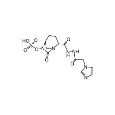 O=C(Cn1ccnc1)NNC(=O)C1CCC2CN1C(=O)N2OS(=O)(=O)O